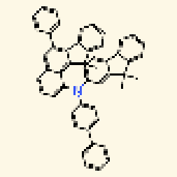 CC1(C)c2ccccc2-c2ccc(N(c3ccc(-c4ccccc4)cc3)c3cccc4cc(-c5ccccc5)c5c(c34)C(C)(C)c3ccccc3-5)cc21